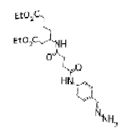 CCOC(=O)CCCC(CC(=O)OCC)NC(=O)CCC(=O)Nc1ccc(C=NN)cc1